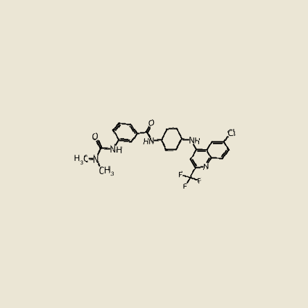 CN(C)C(=O)Nc1cccc(C(=O)NC2CCC(Nc3cc(C(F)(F)F)nc4ccc(Cl)cc34)CC2)c1